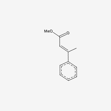 COC(=O)C=C(C)c1ccccc1